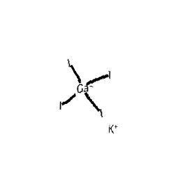 [I][Ga-]([I])([I])[I].[K+]